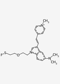 CN(C)c1ccc2c(c1)c(/C=C/c1cc[n+](C)cc1)cn2CCOCCSF